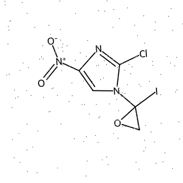 O=[N+]([O-])c1cn(C2(I)CO2)c(Cl)n1